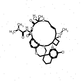 CO[C@H]1/C=C/COC(C)(C)C(=O)N=S(=O)(NC(=O)N(C)C)c2ccc3c(c2)N(C[C@@H]2CC[C@H]21)C[C@@]1(CCCc2cc(Cl)ccc21)CO3